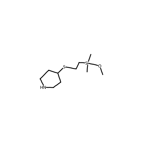 CO[Si](C)(C)CCSC1CCNCC1